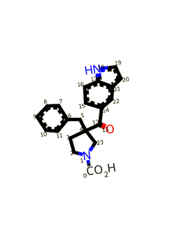 O=C(O)N1CCC(Cc2ccccc2)(C(=O)c2ccc3[nH]ccc3c2)C1